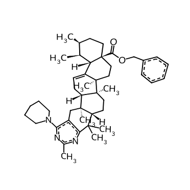 Cc1nc(N2CCCCC2)c2c(n1)C(C)(C)[C@H]1CC[C@@]3(C)[C@@H](CC=C4[C@@H]5[C@@H](C)[C@@H](C)CC[C@]5(C(=O)OCc5ccccc5)CC[C@]43C)[C@]1(C)C2